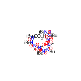 CCC(C)NCC(=O)N(CC(=O)N(CC(=O)N(CC(=O)N(CC(=O)N(CC(=O)N(CC(=O)N(CC(=O)N(CC(=O)N(CC(=O)O)C(C)CC)C(C)CC)CC(C)O)CC(C)O)C(C)CC)C(C)CC)CC(C)O)CC(C)O)C(C)CC